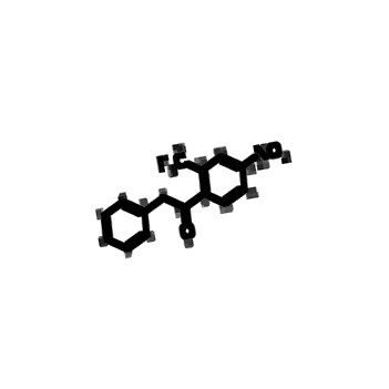 O=C(Cc1ccccc1)c1ccc([N+](=O)[O-])cc1C(F)(F)F